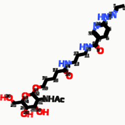 CC=NNc1ccc(C(=O)NCCCNC(=O)CCCCOC2OC(CO)C(O)C(O)C2NC(C)=O)cn1